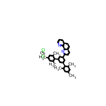 Cc1cc(C)c(-c2cc(-c3ccc4ccc5cccnc5c4n3)cc(-c3c(C)cc(C)cc3C)c2)c(C)c1.[Cl][Co][Cl]